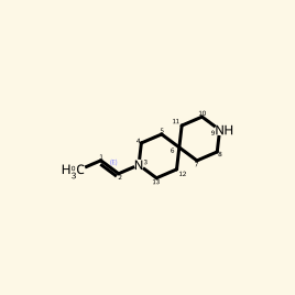 C/C=C/N1CCC2(CCNCC2)CC1